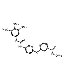 CONC(=O)c1cc(Oc2ccc(NC(=O)Nc3cc(OC)c(OC)c(OC)c3)cc2)ncn1